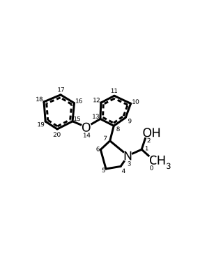 CC(O)N1CCCC1c1ccccc1Oc1ccccc1